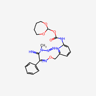 CN(N=N)C(=N)/C(=N\OCc1cccc(NC(=O)OC2OCCCCO2)n1)c1ccccc1